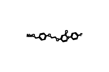 COCc1ccc(OCCOc2ccn(-c3ccc(F)cc3)c(=O)c2)cc1